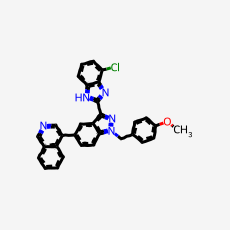 COc1ccc(Cn2nc(-c3nc4c(Cl)cccc4[nH]3)c3cc(-c4cncc5ccccc45)ccc32)cc1